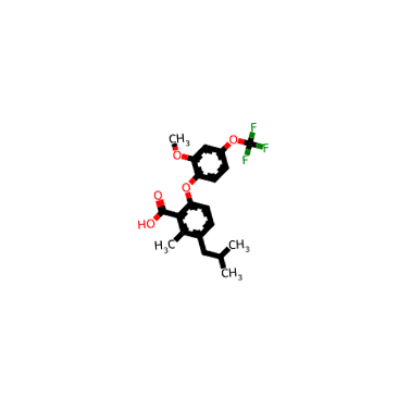 COc1cc(OC(F)(F)F)ccc1Oc1ccc(CC(C)C)c(C)c1C(=O)O